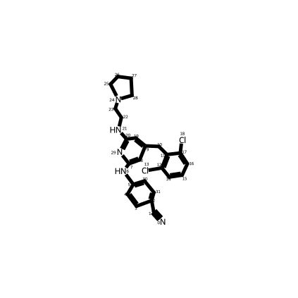 N#Cc1ccc(Nc2cc(Cc3c(Cl)cccc3Cl)cc(NCCN3CCCC3)n2)cc1